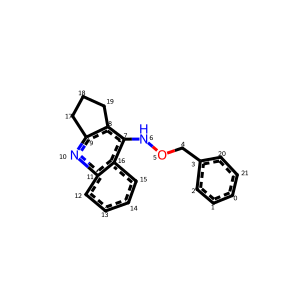 c1ccc(CONc2c3c(nc4ccccc24)CCC3)cc1